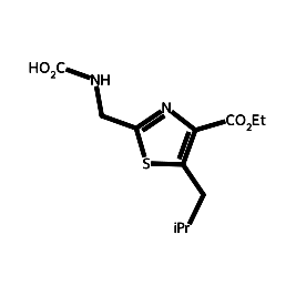 CCOC(=O)c1nc(CNC(=O)O)sc1CC(C)C